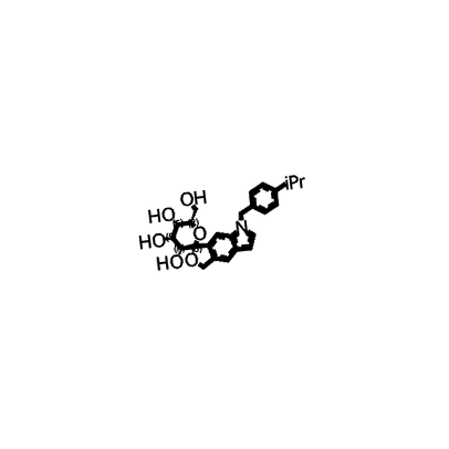 CC(C)c1ccc(Cn2ccc3cc4c(cc32)[C@]2(OC4)O[C@H](CO)[C@@H](O)[C@H](O)[C@H]2O)cc1